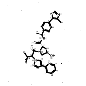 Cc1ncsc1-c1ccc([C@H](C)NC(=O)[C@@H]2C[C@@H](O)CN2C(=O)C(C(C)C)n2cc(-c3ccccn3)cn2)cc1